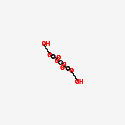 O=C(OC1=CC=C(OC(=O)c2ccc(OCCCCCCO)cc2)CC1)c1ccc(OCCCCCCO)cc1